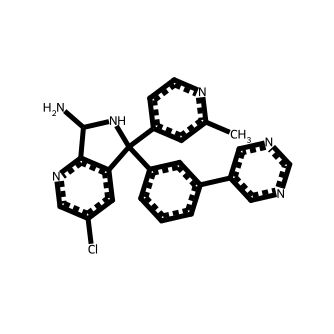 Cc1cc(C2(c3cccc(-c4cncnc4)c3)NC(N)c3ncc(Cl)cc32)ccn1